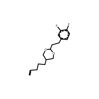 C=CCCCC1COC(CCc2ccc(F)c(F)c2)OC1